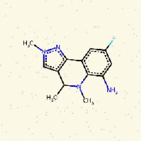 CC1c2cn(C)nc2-c2cc(F)cc(N)c2N1C